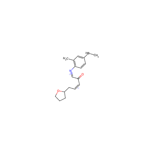 CBc1ccc(/N=C\C(=O)/C=C\CC2CCCO2)c(C)c1